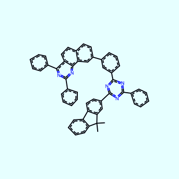 CC1(C)c2ccccc2-c2ccc(-c3nc(-c4ccccc4)nc(-c4cccc(-c5ccc6ccc7c(-c8ccccc8)nc(-c8ccccc8)nc7c6c5)c4)n3)cc21